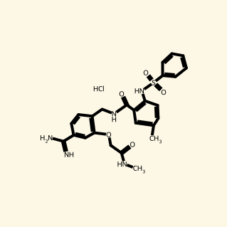 CNC(=O)COc1cc(C(=N)N)ccc1CNC(=O)c1cc(C)ccc1NS(=O)(=O)c1ccccc1.Cl